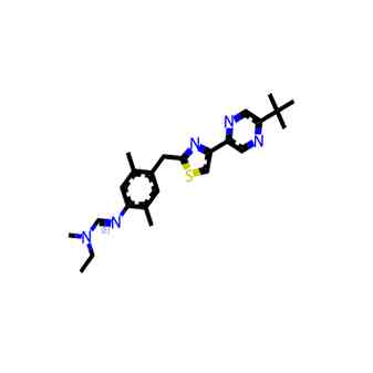 CCN(C)/C=N/c1cc(C)c(Cc2nc(-c3cnc(C(C)(C)C)cn3)cs2)cc1C